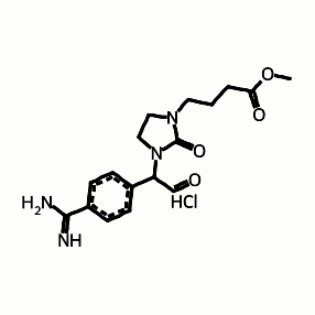 COC(=O)CCCN1CCN(C(C=O)c2ccc(C(=N)N)cc2)C1=O.Cl